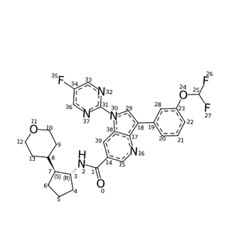 O=C(N[C@@H]1CCC[C@H]1C1CCOCC1)c1cnc2c(-c3cccc(OC(F)F)c3)cn(-c3ncc(F)cn3)c2c1